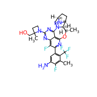 Cc1c(F)c(N)cc(-c2nc3c4c(nc(N5CCC5(C)CO)nc4c2F)N2C[C@H]4CC[C@H](N4)[C@H]2[C@H](C)O3)c1C(F)(F)F